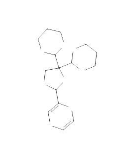 C1=CSC=C(C2OCC(C3OCCCS3)(C3OCCCS3)S2)O1